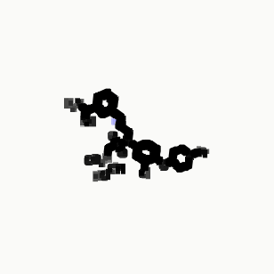 CC(C)N1CCC(Oc2ccc(N(C/C=C/c3cccc(C(=N)N)c3)S(=O)(=O)CC(=O)O)cc2Cl)CC1.Cl.Cl